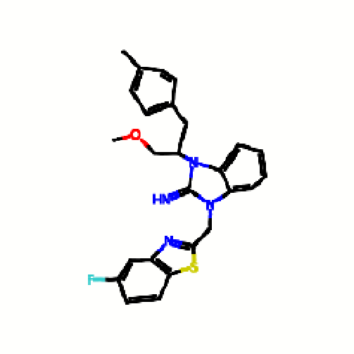 COCC(Cc1ccc(C)cc1)n1c(=N)n(Cc2nc3cc(F)ccc3s2)c2ccccc21